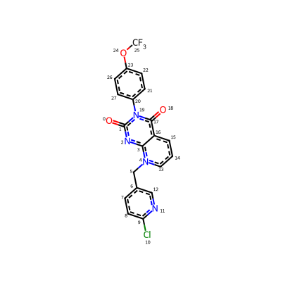 O=c1nc2n(Cc3ccc(Cl)nc3)cccc-2c(=O)n1-c1ccc(OC(F)(F)F)cc1